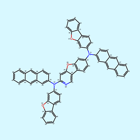 c1ccc2cc3cc(N(c4ccc5c(c4)oc4ccccc45)c4ccc5c(c4)oc4cc(N(c6ccc7cc8ccccc8cc7c6)c6ccc7c(c6)oc6ccccc67)ncc45)ccc3cc2c1